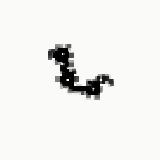 Cc1cccc(C#CC=C2CCN(SCc3cccc(F)c3)CC2)n1